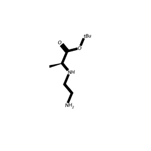 C[C@H](NCCN)C(=O)OC(C)(C)C